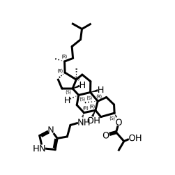 CC(C)CCC[C@@H](C)[C@H]1CC[C@H]2[C@@H]3C[C@@H](NCCc4c[nH]cn4)[C@@]4(O)C[C@@H](OC(=O)C(C)O)CC[C@]4(C)[C@H]3CC[C@]12C